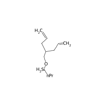 C=CCC(CC=C)CO[SiH2]CCC